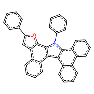 c1ccc(-c2cc3c4ccccc4c4c5c6ccccc6c6ccccc6c5n(-c5ccccc5)c4c3o2)cc1